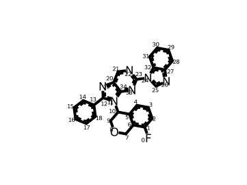 Fc1cccc2c1COCC2n1c(-c2ccccc2)nc2cnc(-n3cnc4ccccc43)nc21